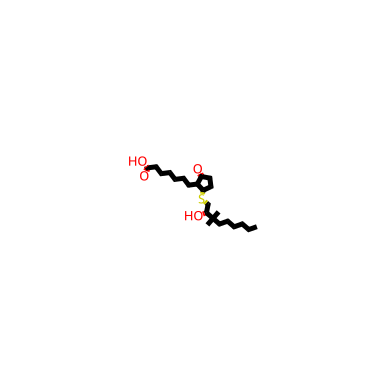 CCCCCCC(C)(C)C(O)CSC1CCC(=O)C1CCCCCCC(=O)O